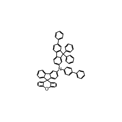 c1ccc(-c2ccc(N(c3ccc4c(c3)-c3ccccc3C43c4ccccc4Oc4ccccc43)c3ccc4c(c3)C(c3ccccc3)(c3ccccc3)c3cc(-c5ccccc5)ccc3-4)cc2)cc1